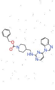 O=C(OCc1ccccc1)N1CCC(CNc2nccc(-n3cnc4ccccc43)n2)CC1